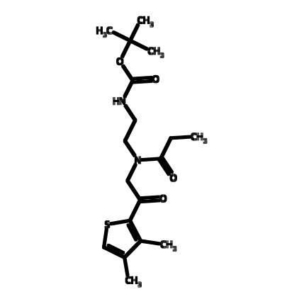 CCC(=O)N(CCNC(=O)OC(C)(C)C)CC(=O)c1scc(C)c1C